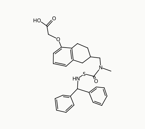 CN(CC1CCc2c(cccc2OCC(=O)O)C1)C(=O)SNC(c1ccccc1)c1ccccc1